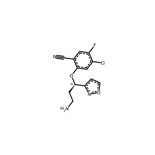 N#Cc1cc(F)c(Cl)cc1O[C@H](CCN)c1ccon1